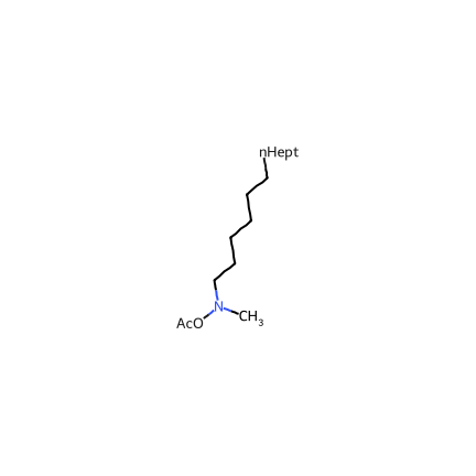 CCCCCCCCCCCCCN(C)OC(C)=O